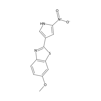 COc1ccc2nc(-c3c[nH]c([N+](=O)[O-])c3)sc2c1